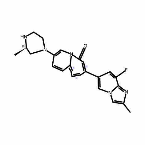 Cc1cn2cc(C3=C\C(=O)N4C=C(N5CCN[C@H](C)C5)C=C\C4=C/C=C/3)cc(F)c2n1